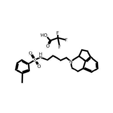 Cc1cccc(S(=O)(=O)NCCCCN2CCc3cccc4c3C2CC4)c1.O=C(O)C(F)(F)F